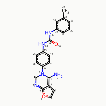 NC1=c2ccoc2=NCN1c1ccc(NC(=O)Nc2cccc(C(F)(F)F)c2)cc1